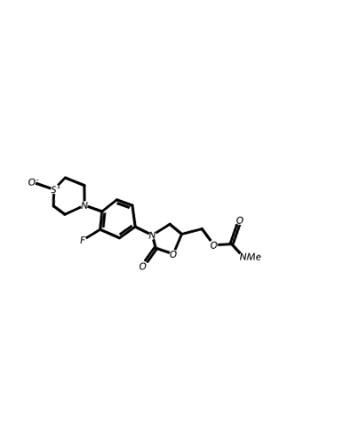 CNC(=O)OCC1CN(c2ccc(N3CC[S+]([O-])CC3)c(F)c2)C(=O)O1